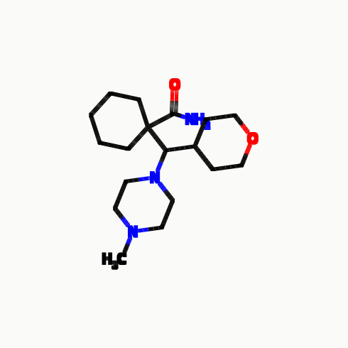 CN1CCN(C(C2CCOCC2)C2(C(N)=O)CCCCC2)CC1